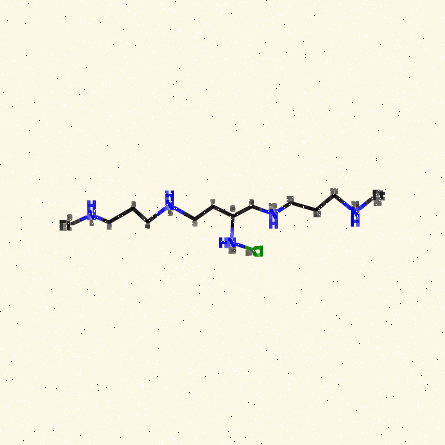 CCNCCCNCCC(CNCCCNCC)NCl